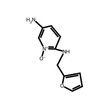 Nc1ccc(NCc2ccco2)[n+]([O-])c1